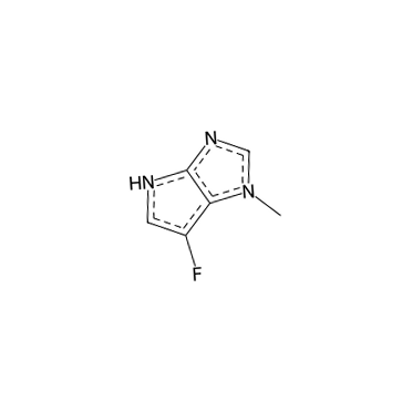 Cn1cnc2[nH]cc(F)c21